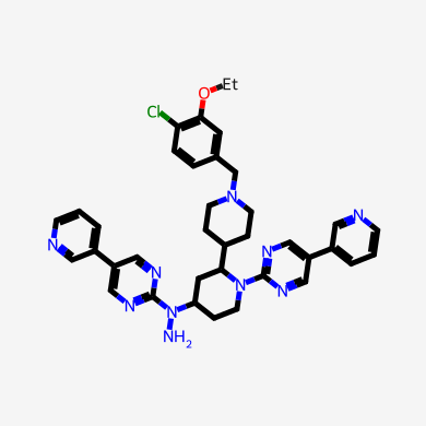 CCOc1cc(CN2CCC(C3CC(N(N)c4ncc(-c5cccnc5)cn4)CCN3c3ncc(-c4cccnc4)cn3)CC2)ccc1Cl